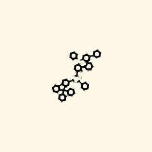 c1ccc(-c2ccc(N(c3ccccc3)c3ccc(C4=NC(c5ccc6c(c5)C(c5ccccc5)(c5ccccc5)c5ccccc5-6)=NC(c5ccccc5)N4)c4oc5ccccc5c34)cc2)cc1